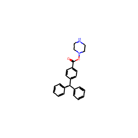 O=C(ON1CCNCC1)c1ccc(C(c2ccccc2)c2ccccc2)cc1